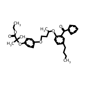 CCCCc1ccc(OC(C)CCOc2ccc(OC(C)(C)C(=O)OCC)cc2)c(C(=O)c2ccccc2)c1